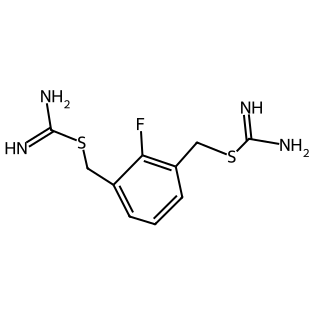 N=C(N)SCc1cccc(CSC(=N)N)c1F